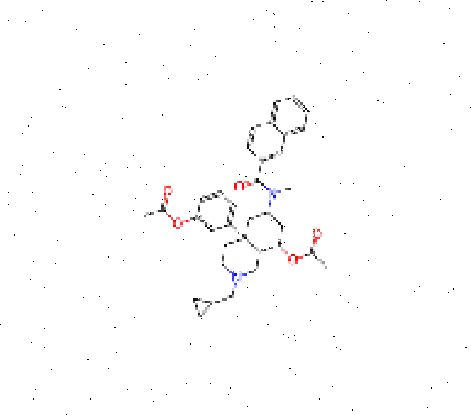 CC(=O)Oc1cccc(C23CCN(CC4CC4)CC2C(OC(C)=O)CC(N(C)C(=O)c2ccc4ccccc4c2)C3)c1